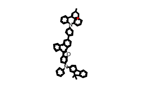 CC1C=C(c2ccccc2N(c2ccccc2)c2ccc(-c3ccc4c(c3)c3ccccc3c3c5ccc(N(c6ccccc6)c6ccc7c(c6)C(C)(C)c6ccccc6-7)cc5oc43)cc2)C=CC1